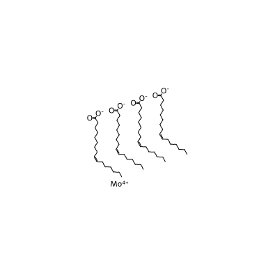 CCCCCC/C=C\CCCCCCCC(=O)[O-].CCCCCC/C=C\CCCCCCCC(=O)[O-].CCCCCC/C=C\CCCCCCCC(=O)[O-].CCCCCC/C=C\CCCCCCCC(=O)[O-].[Mo+4]